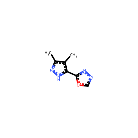 Cc1n[nH]c(-c2nnco2)c1C